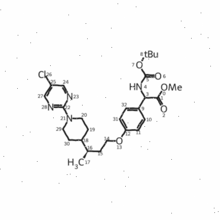 COC(=O)C(NC(=O)OC(C)(C)C)c1ccc(OCC[C@@H](C)C2CCN(c3ncc(Cl)cn3)CC2)cc1